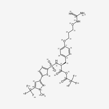 Cn1nc(-c2ccc(S(=O)(=O)N[C@@H](Cc3ccc(OCCCONC(=N)N)cc3)C(=O)OC(=O)C(F)(F)F)s2)cc1C(F)(F)F